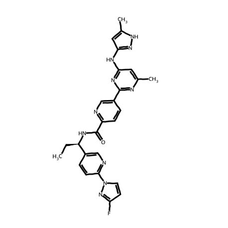 CC[C@@H](NC(=O)c1ccc(-c2nc(C)cc(Nc3cc(C)[nH]n3)n2)cn1)c1ccc(-n2ccc(F)n2)nc1